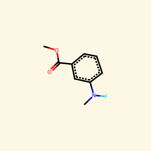 COC(=O)c1cccc(N(C)F)c1